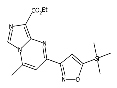 CCOC(=O)c1ncn2c(C)cc(-c3cc([Si](C)(C)C)on3)nc12